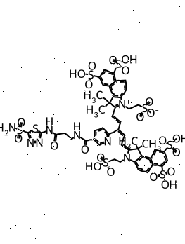 CC1(C)C(/C=C/C(=C/C=C2/N(CCS(=O)(=O)O)c3ccc4c(S(=O)(=O)O)cc(S(=O)(=O)O)cc4c3C2(C)C)c2ccc(C(=O)NCCC(=O)Nc3nnc(S(N)(=O)=O)s3)cn2)=[N+](CCS(=O)(=O)[O-])c2ccc3c(S(=O)(=O)O)cc(S(=O)(=O)O)cc3c21